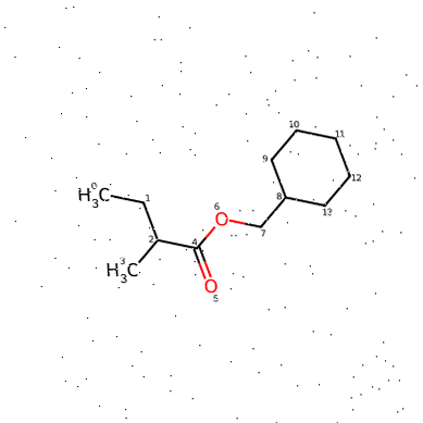 CCC(C)C(=O)OCC1CCCCC1